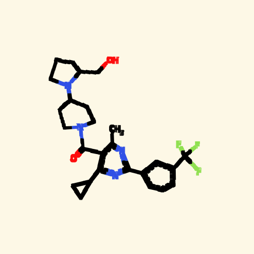 Cc1nc(-c2cccc(C(F)(F)F)c2)nc(C2CC2)c1C(=O)N1CCC(N2CCCC2CO)CC1